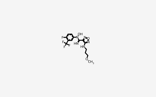 COCCCNc1nonc1C(=N)N(O)c1ccc(F)c(C(F)(F)F)c1